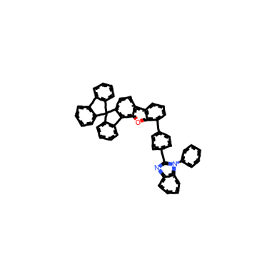 c1ccc(-n2c(-c3ccc(-c4cccc5c4oc4c6c(ccc45)C4(c5ccccc5-c5ccccc54)c4ccccc4-6)cc3)nc3ccccc32)cc1